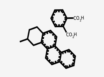 CC1CCc2ccc3c(ccc4ccccc43)c2C1.O=C(O)c1ccccc1C(=O)O